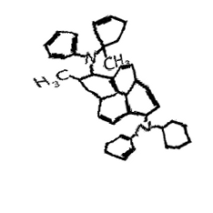 CC1CC2C=CC3C4C2=C(C=CC4C=CC3N(C2=CCCC=C2)C2CCCCC2)C1N(c1ccccc1)C1(C)CC=CCC1